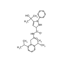 CC(C)c1cccc(C(C)C)c1CC(=O)N[S+]([O-])C1C=C(C(C)(C)O)N(c2ccccc2)N1